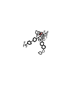 NC1CC2CCC(C1)N2C(=O)[C@@H](N(OC(=O)C(F)(F)F)S(=O)(=O)c1ccc2cc(OC3CCCC3)ccc2c1)C(F)(F)c1ccc(-c2ccc(C(F)(F)F)cc2)cc1